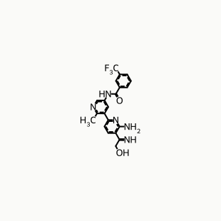 Cc1ncc(NC(=O)c2cccc(C(F)(F)F)c2)cc1-c1ccc(C(=N)CO)c(N)n1